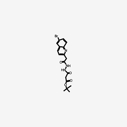 CC(C)(C)OC(=O)CC(=O)NNC(=O)Cc1ccc2cc(Br)ccc2n1